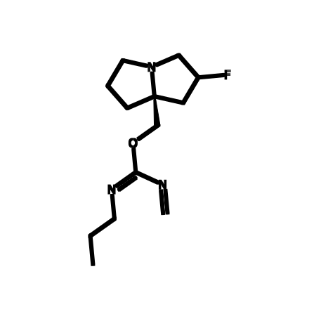 C=N/C(=N\CCC)OC[C@@]12CCCN1CC(F)C2